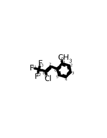 Cc1ccccc1C=C(Cl)C(F)(F)F